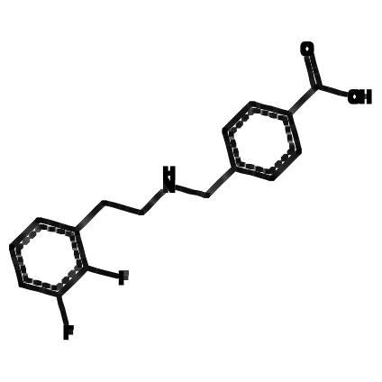 O=C(O)c1ccc(CNCCc2cccc(F)c2F)cc1